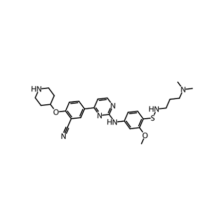 COc1cc(Nc2nccc(-c3ccc(OC4CCNCC4)c(C#N)c3)n2)ccc1SNCCCN(C)C